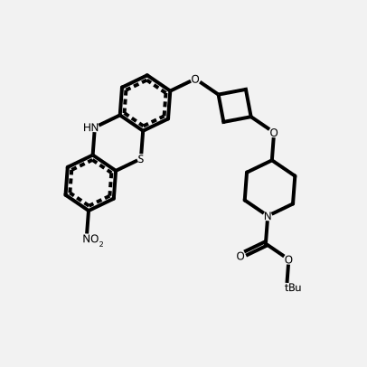 CC(C)(C)OC(=O)N1CCC(OC2CC(Oc3ccc4c(c3)Sc3cc([N+](=O)[O-])ccc3N4)C2)CC1